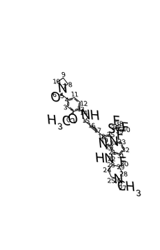 COc1cc(C(=O)N2CCC2)ccc1NCC#Cc1nc2c(N[C@@H]3CCN(C)C[C@@H]3F)cccn2c1SC(F)(F)F